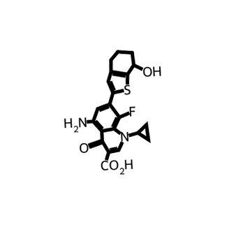 Nc1cc(-c2cc3c(s2)C(O)CCC3)c(F)c2c1c(=O)c(C(=O)O)cn2C1CC1